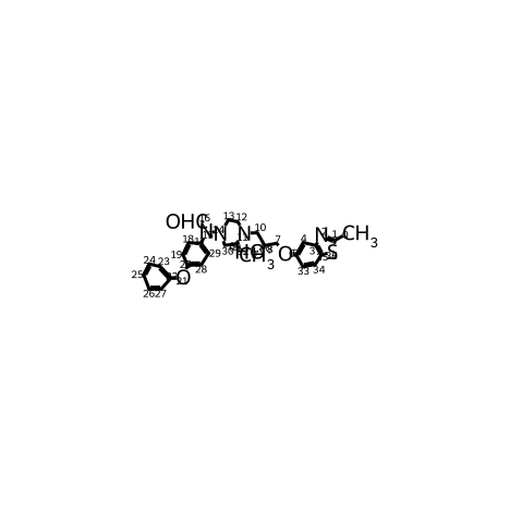 Cc1nc2cc(OC[C@H](O)CN3CCN(N(C=O)c4ccc(Oc5ccccc5)cc4)C[C@@H]3C)ccc2s1